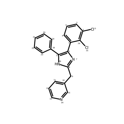 Clc1cccc(-c2nc(Cc3cccnc3)[nH]c2-c2ccccc2)c1Cl